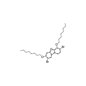 CCCCCCCCOc1cc2oc3c(OCCCCCCCC)c(Br)ccc3c2cc1Br